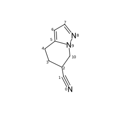 N#CC1CCc2ccnn2C1